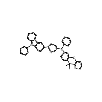 CC1(C)c2ccccc2Oc2cc(N(c3ccccc3)c3ccc(-c4ccc5c(c4)c4ccccc4n5-c4ccccc4)nc3)ccc21